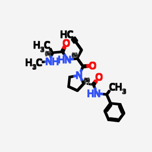 C#CC[C@H](NC(=O)[C@H](C)NC)C(=O)N1CCC[C@H]1C(=O)NC(C)c1ccccc1